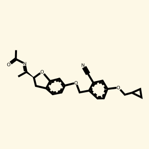 CC(=O)/N=C(\C)[C@@H]1Cc2ccc(OCc3ccc(OCC4CC4)cc3C#N)cc2O1